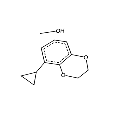 CO.c1cc2c(c(C3CC3)c1)OCCO2